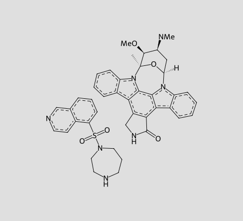 CN[C@H]1C[C@@H]2O[C@](C)([C@H]1OC)n1c3ccccc3c3c4c(c5c6ccccc6n2c5c31)C(=O)NC4.O=S(=O)(c1cccc2cnccc12)N1CCCNCC1